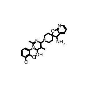 CC1=NC(N2CCC3(CC2)Oc2ncccc2C3N)=C(C)C(O)N1c1cccc(Cl)c1Cl